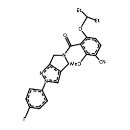 CCC(CC)Oc1ccc(C#N)c(OC)c1C(=O)N1Cc2cn(-c3ccc(F)cc3)nc2C1